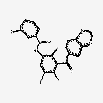 O=C(Nc1cc(F)c(F)c(C(=O)c2ccc3ncsc3c2)c1F)c1cccc(F)c1